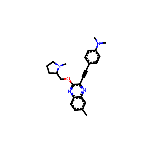 Cc1ccc2nc(OCC3CCCN3C)c(C#Cc3ccc(N(C)C)cc3)nc2c1